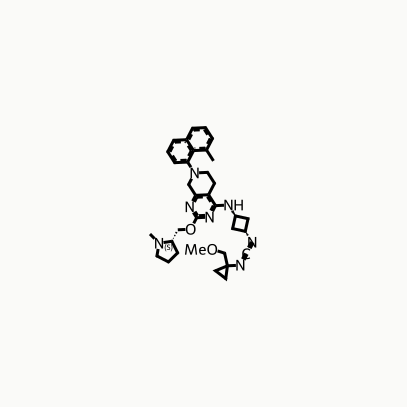 COCC1(N=C=N[C@H]2C[C@H](Nc3nc(OC[C@@H]4CCCN4C)nc4c3CCN(c3cccc5cccc(C)c35)C4)C2)CC1